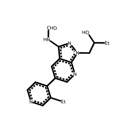 CCc1cnccc1-c1cnc2c(c1)c(NC=O)nn2CC(O)CC